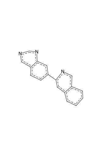 c1ccc2cc(-c3ccc4cncnc4c3)ncc2c1